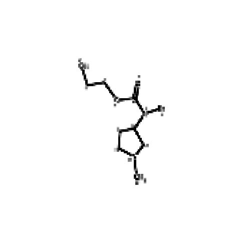 CCN(C(=O)OCCO)C1CCN(C)C1